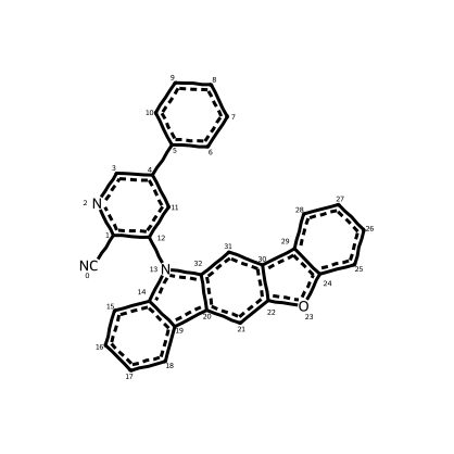 N#Cc1ncc(-c2ccccc2)cc1-n1c2ccccc2c2cc3oc4ccccc4c3cc21